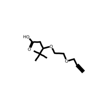 C#CCOCCOC(CC(=O)O)C(C)(C)C